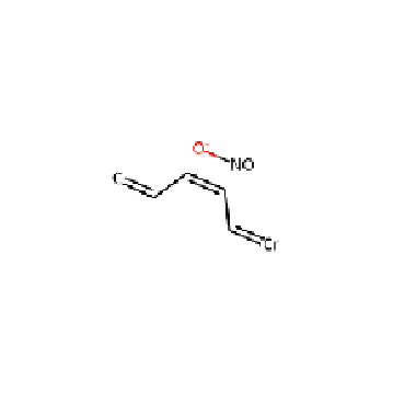 O=N[O-].[CH-]=C/C=C\[CH]=[Cr]